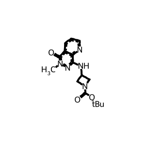 Cn1nc(NC2CN(C(=O)OC(C)(C)C)C2)c2ncccc2c1=O